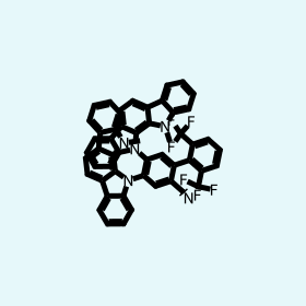 Cn1c2ccccc2c2ccc3c4ccccc4n(-c4cc(C#N)c(-c5c(C(F)(F)F)cccc5C(F)(F)F)cc4-n4c5ccccc5c5ccc6c7ccccc7n(C)c6c54)c3c21